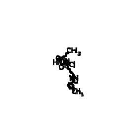 CCCCCn1c(=O)[nH]c(=O)c2c1nc(Cl)n2CCCCc1noc(-c2cccc(C)c2)n1